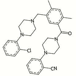 Cc1cc(C)c(C(=O)N2CCN(c3ccccc3C#N)CC2)cc1CN1CCN(c2ccccc2Cl)CC1